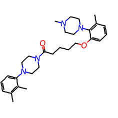 Cc1cccc(N2CCN(C(=O)CCCCOc3cccc(C)c3N3CCN(C)CC3)CC2)c1C